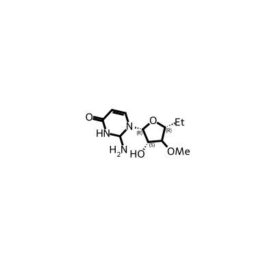 CC[C@H]1O[C@@H](N2C=CC(=O)NC2N)[C@@H](O)C1OC